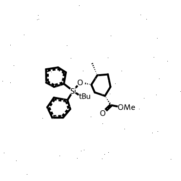 COC(=O)[C@H]1CC[C@@H](C)[C@@H](O[Si](c2ccccc2)(c2ccccc2)C(C)(C)C)C1